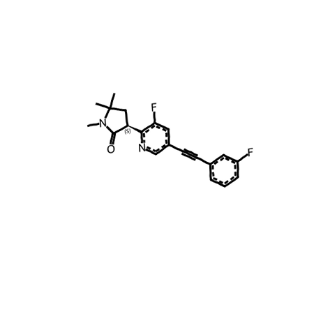 CN1C(=O)[C@H](c2ncc(C#Cc3cccc(F)c3)cc2F)CC1(C)C